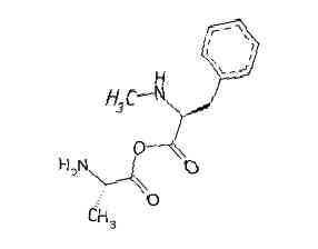 CN[C@@H](Cc1ccccc1)C(=O)OC(=O)[C@H](C)N